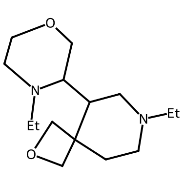 CCN1CCC2(COC2)C(C2COCCN2CC)C1